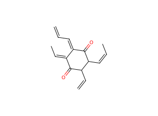 C=C/C=C1/C(=O)C(/C=C\C)C(C=C)C(=O)/C1=C/C